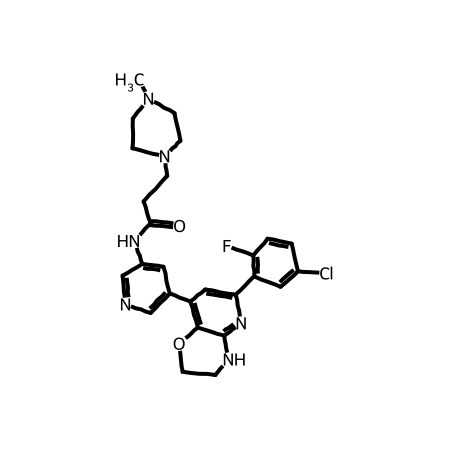 CN1CCN(CCC(=O)Nc2cncc(-c3cc(-c4cc(Cl)ccc4F)nc4c3OCCN4)c2)CC1